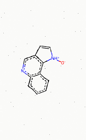 [O-][NH+]1C=Cc2cnc3ccccc3c21